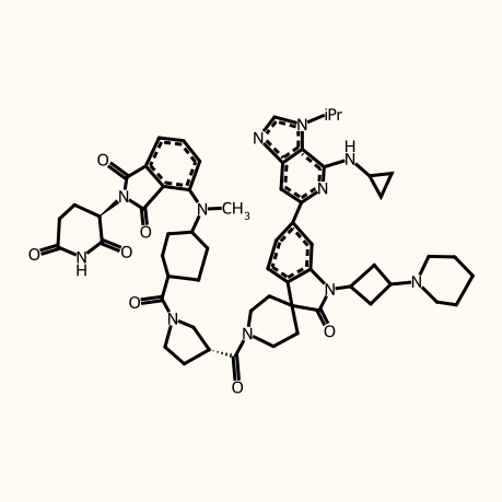 CC(C)n1cnc2cc(-c3ccc4c(c3)N(C3CC(N5CCCCC5)C3)C(=O)C43CCN(C(=O)[C@@H]4CCN(C(=O)C5CCC(N(C)c6cccc7c6C(=O)N([C@@H]6CCC(=O)NC6=O)C7=O)CC5)C4)CC3)nc(NC3CC3)c21